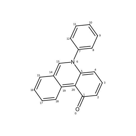 O=c1cccc2n(-c3ccccc3)cc3ccccc3c1-2